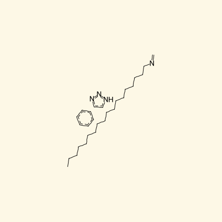 C=NCCCCCCCCCCCCCCCCCC.c1c[nH]nn1.c1ccccc1